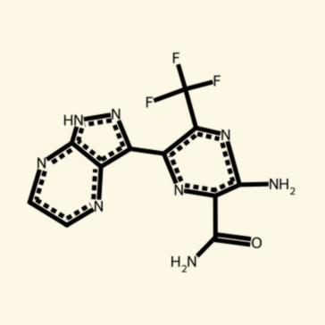 NC(=O)c1nc(-c2n[nH]c3nccnc23)c(C(F)(F)F)nc1N